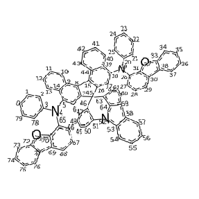 c1ccc(N(c2cc3c(c4ccccc24)-c2c(cc(N(c4ccccc4)c4cccc5c4oc4ccccc45)c4ccccc24)C32c3ccccc3-n3c4ccccc4c4cccc2c43)c2cccc3c2oc2ccccc23)cc1